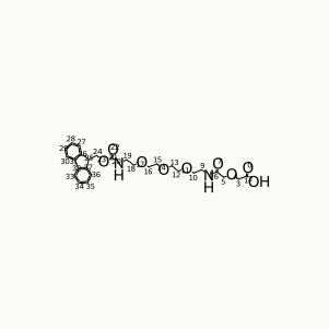 O=C(O)COCC(=O)NCCOCCOCCOCCNC(=O)OCC1c2ccccc2-c2ccccc21